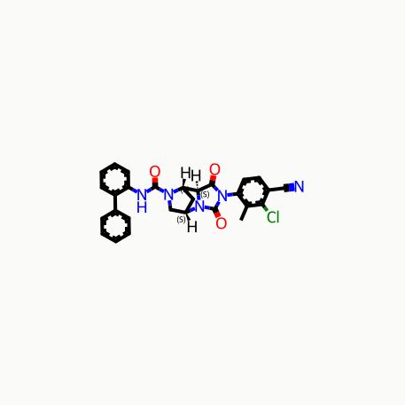 Cc1c(N2C(=O)[C@@H]3[C@@H]4C[C@@H](CN4C(=O)Nc4ccccc4-c4ccccc4)N3C2=O)ccc(C#N)c1Cl